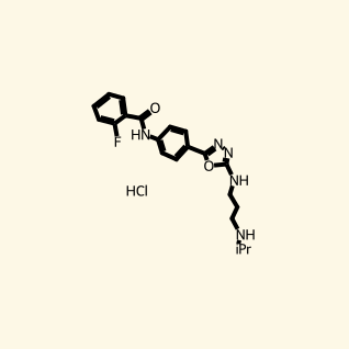 CC(C)NCCCNc1nnc(-c2ccc(NC(=O)c3ccccc3F)cc2)o1.Cl